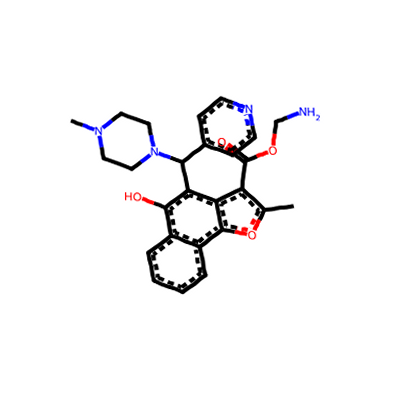 Cc1oc2c(c1C(=O)OCN)c(C(c1ccncc1)N1CCN(C)CC1)c(O)c1ccccc12